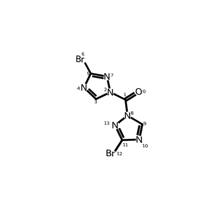 O=C(n1cnc(Br)n1)n1cnc(Br)n1